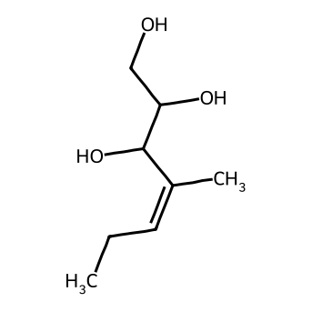 CCC=C(C)C(O)C(O)CO